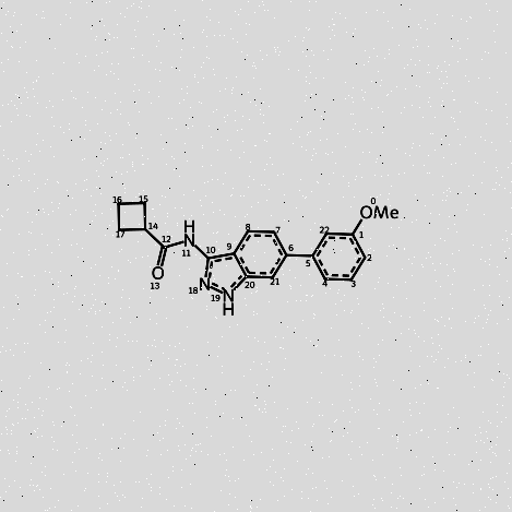 COc1cccc(-c2ccc3c(NC(=O)C4CCC4)n[nH]c3c2)c1